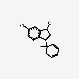 CC1([C@@H]2C[C@H](O)c3cc(Cl)ccc32)C=CC=CC1